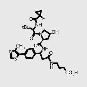 Cc1ncsc1-c1ccc(C(CC(=O)NCCCC(=O)O)NC(=O)[C@@H]2C[C@@H](O)CN2C(=O)C(NC(=O)C2(F)CC2)C(C)(C)C)cc1